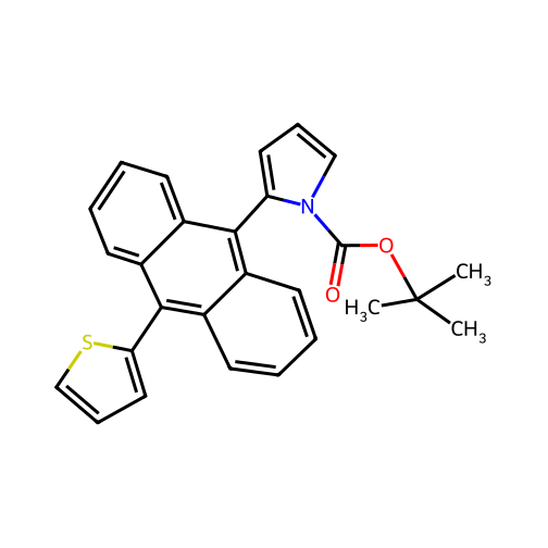 CC(C)(C)OC(=O)n1cccc1-c1c2ccccc2c(-c2cccs2)c2ccccc12